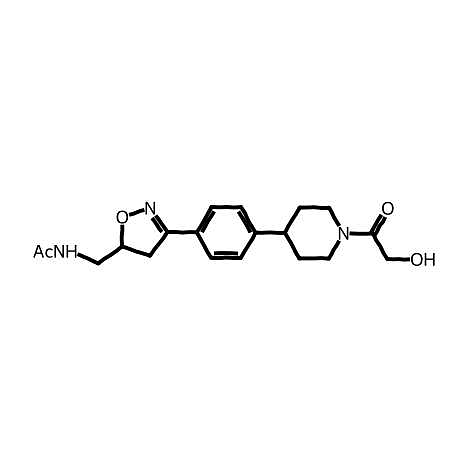 CC(=O)NCC1CC(c2ccc(C3CCN(C(=O)CO)CC3)cc2)=NO1